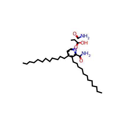 CCC(=O)O.CCCCCCCCCCCCc1ccnc(C(N)=O)c1CCCCCCCCCCCC.NC=O